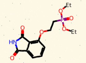 CCOP(=O)(CCOc1cccc2c1C(=O)NC2=O)OCC